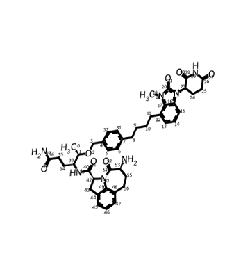 C[C@@H](OCc1ccc(CCCCc2cccc3c2n(C)c(=O)n3C2CCC(=O)NC2=O)cc1)[C@H](CCC(N)=O)NC(=O)[C@@H]1Cc2cccc3c2N1C(=O)[C@@H](N)CC3